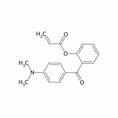 C=CC(=O)Oc1ccccc1C(=O)c1ccc(N(C)C)cc1